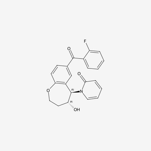 O=C(c1ccc2c(c1)[C@@H](n1ccccc1=O)[C@H](O)CCO2)c1ccccc1F